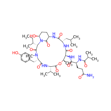 CCC(C)[C@H]1C(=O)N(C)[C@@H](Cc2ccc(O)cc2)C(=O)N[C@@H](C(C)C)C(=O)O[C@H](C)[C@H](NC(=O)[C@H](CCC(N)=O)NC(=O)C(C)C)C(=O)N[C@@H](CC(C)C)C(=O)NC2CC[C@H](O)N1C2=O